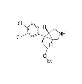 CCOCC[C@@]1(c2ccc(Cl)c(Cl)c2)[C@@H]2CNC[C@@H]21